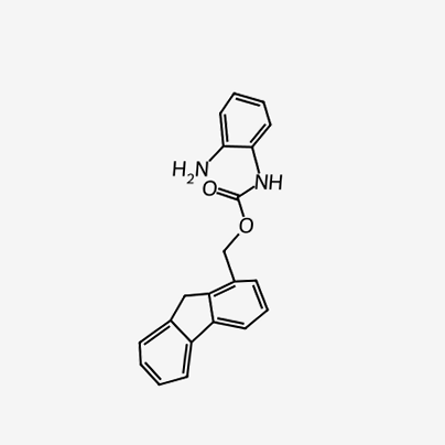 Nc1ccccc1NC(=O)OCc1cccc2c1Cc1ccccc1-2